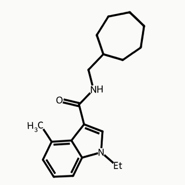 CCn1cc(C(=O)NCC2CCCCCC2)c2c(C)cccc21